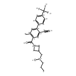 CCC[S+]([O-])CC1CN(C(=O)c2cc(C#N)c(-c3ccc(C(F)(F)F)cc3)cc2C)C1